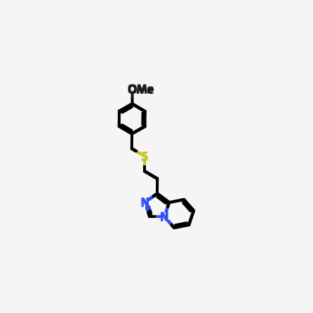 COc1ccc(CSCCc2ncn3ccccc23)cc1